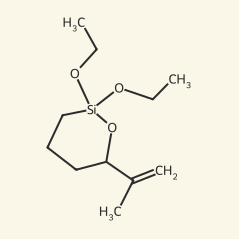 C=C(C)C1CCC[Si](OCC)(OCC)O1